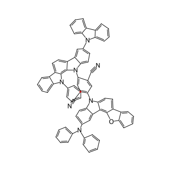 N#Cc1cc(-n2c3ccc(-n4c5ccccc5c5ccccc54)cc3c3ccc4c5ccccc5n(-c5ccccc5)c4c32)c(C#N)cc1-n1c2ccc(N(c3ccccc3)c3ccccc3)cc2c2c3oc4ccccc4c3ccc21